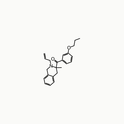 C=CCN1Cc2ccccc2CC1(C)C(=O)c1cccc(OCCC)c1